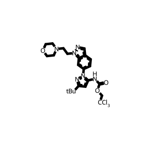 CC(C)(C)c1cc(NC(=O)OCC(Cl)(Cl)Cl)n(-c2ccc3cnn(CCN4CCOCC4)c3c2)n1